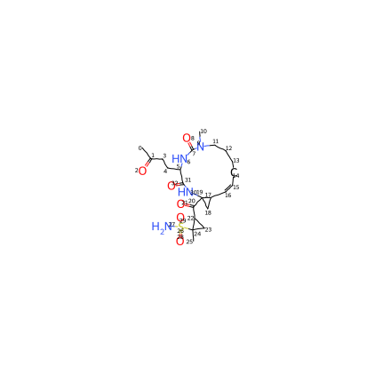 CC(=O)CCC1NC(=O)N(C)CCCCC=CC2CC2(C(=O)C2CC2(C)S(N)(=O)=O)NC1=O